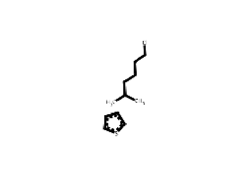 CC(C)CCCCCl.c1ccsc1